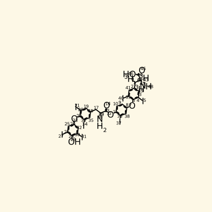 [3H]C(c1cc(I)c(Oc2ccc(OC(=O)[C@@H](N)Cc3cc(I)c(Oc4cc(I)c(O)c(I)c4)c(I)c3)c(I)c2)c(I)c1)[C@@]([3H])(C(=O)O)N([3H])[3H]